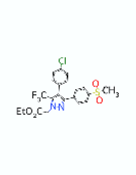 CCOC(=O)Cn1nc(-c2ccc(S(C)(=O)=O)cc2)c(-c2ccc(Cl)cc2)c1C(F)(F)F